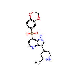 CC1CC(c2c[nH]c3c(S(=O)(=O)c4ccc5c(c4)OCCO5)ccnc23)=CCN1